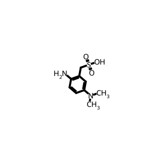 CN(C)c1ccc(N)c(CS(=O)(=O)O)c1